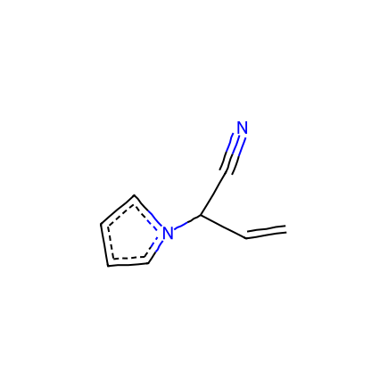 C=CC(C#N)n1cccc1